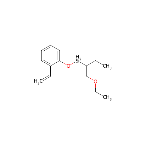 C=Cc1ccccc1O[SiH2]C(CC)COCC